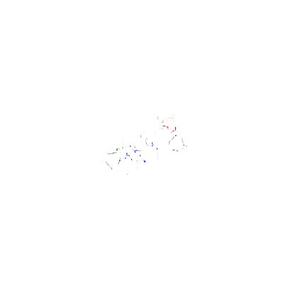 CCc1nc(C(=O)NC(CC(=O)O)c2ccc(C)cc2)nn1-c1ccccc1Cl